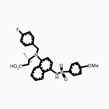 COc1ccc(S(=O)(=O)Nc2ccc(N(Cc3ccc(F)cc3)[C@@H](C)CC(=O)O)c3ccccc23)cc1